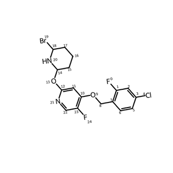 Fc1cc(Cl)ccc1COc1cc(OC2CCCC(Br)N2)ncc1F